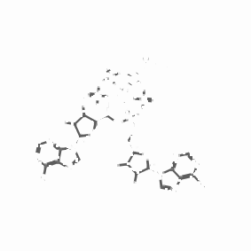 CC(=O)OP(=O)(OP(=O)(O)OP(=O)(O)OP(=O)(O)O)OP(=O)(OC[C@H]1O[C@@H](n2cnc3c(N)ncnc32)C(O)C1O)OC[C@H]1O[C@@H](n2cnc3c(N)ncnc32)C(O)C1O.[MgH2]